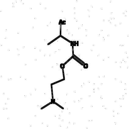 CC(=O)C(C)NC(=O)OCCN(C)C